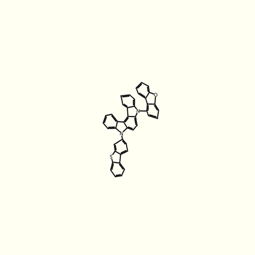 c1ccc2c(c1)oc1cccc(-n3c4ccccc4c4c5c6ccccc6n(-c6ccc7c(c6)sc6ccccc67)c5ccc43)c12